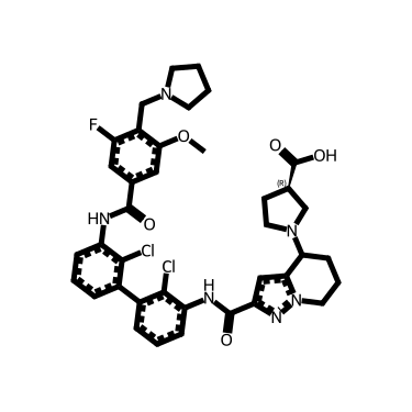 COc1cc(C(=O)Nc2cccc(-c3cccc(NC(=O)c4cc5n(n4)CCCC5N4CC[C@@H](C(=O)O)C4)c3Cl)c2Cl)cc(F)c1CN1CCCC1